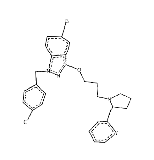 Clc1ccc(Cn2nc(OCCCN3CCCC3c3ccccn3)c3cc(Cl)ccc32)cc1